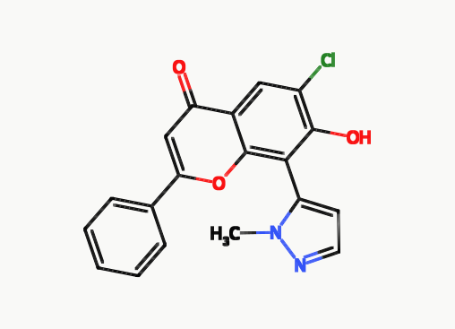 Cn1nccc1-c1c(O)c(Cl)cc2c(=O)cc(-c3ccccc3)oc12